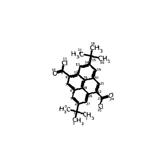 CC(C)(C)c1cc2cc(C(=O)Cl)c3cc(C(C)(C)C)cc4cc(C(=O)Cl)c(c1)c2c43